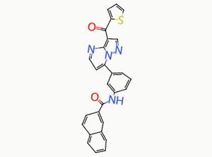 O=C(Nc1cccc(-c2ccnc3c(C(=O)c4cccs4)cnn23)c1)c1ccc2ccccc2c1